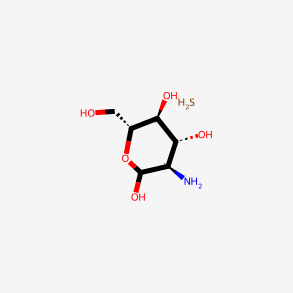 N[C@H]1C(O)O[C@H](CO)[C@@H](O)[C@@H]1O.S